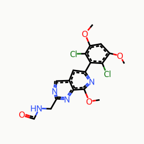 COc1cc(OC)c(Cl)c(-c2cc3cnc(CNC=O)nc3c(OC)n2)c1Cl